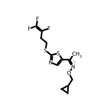 C/C(=N/OCC1CC1)c1cnc(SCCC(F)=C(F)F)s1